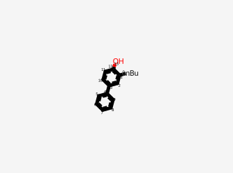 CCCCc1cc(-c2ccccc2)ccc1O